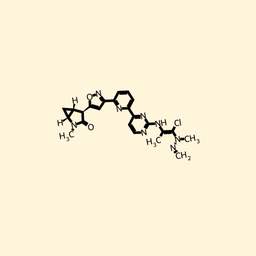 C=NN(C)/C(Cl)=C(\C)Nc1nccc(-c2cccc(-c3cc([C@H]4C(=O)N(C)[C@@H]5C[C@H]45)on3)n2)n1